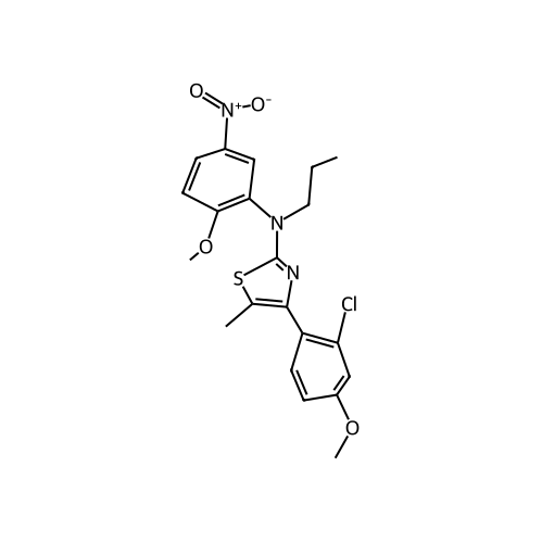 CCCN(c1nc(-c2ccc(OC)cc2Cl)c(C)s1)c1cc([N+](=O)[O-])ccc1OC